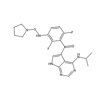 CC(C)Nc1ncnc2[nH]cc(C(=O)c3c(F)ccc(NSN4CCCC4)c3F)c12